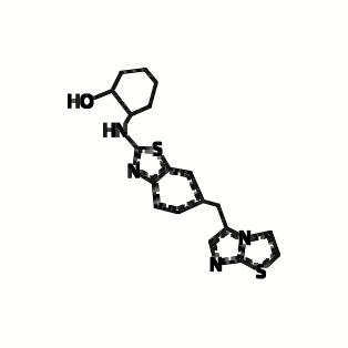 OC1CCCCC1Nc1nc2ccc(Cc3cnc4sccn34)cc2s1